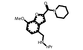 CCCNCc1ccc(OC)c2oc(C(=O)N3CCCCC3)cc12